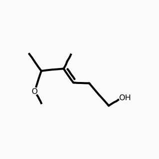 COC(C)C(C)=CCCO